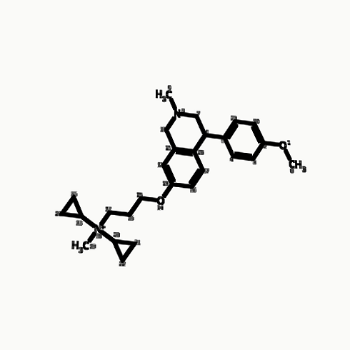 COc1ccc(C2CN(C)Cc3cc(OCCC[N+](C)(C4CC4)C4CC4)ccc32)cc1